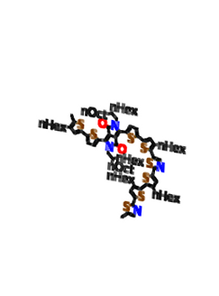 CCCCCCCCC(CCCCCC)CN1C(=O)C2=C(c3ccc(-c4cc(CCCCCC)c(-c5cnc(-c6cc(CCCCCC)c(-c7sc(-c8ncc(C)s8)cc7CCCCCC)s6)s5)s4)s3)N(CC(CCCCCC)CCCCCCCC)C(=O)C2=C1c1ccc(-c2cc(CCCCCC)c(C)s2)s1